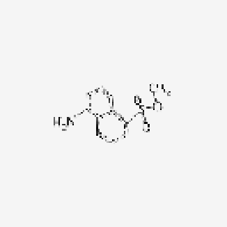 COS(=O)(=O)c1cccc2c(N)cccc12